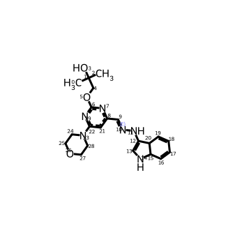 CC(C)(O)COc1nc(/C=N/NC2=CNC3C=CC=CC23)cc(N2CCOCC2)n1